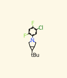 CC(C)(C)C1C2CN(c3cc(Cl)c(F)cc3F)CC21